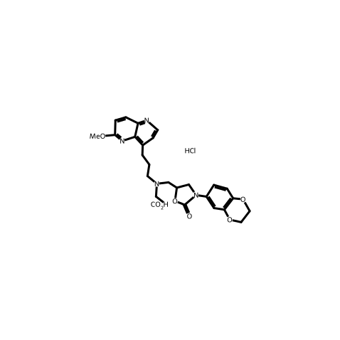 COc1ccc2nccc(CCCN(CC(=O)O)CC3CN(c4ccc5c(c4)OCCO5)C(=O)O3)c2n1.Cl